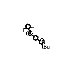 CC(C)(C)C1=NOC(c2ccc(C3COC(c4c(F)cccc4F)=N3)cc2)C1